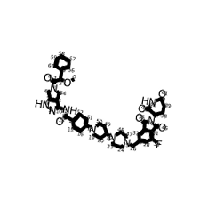 COC(C(=O)N1Cc2[nH]nc(NC(=O)c3ccc(N4CCC(N5CCN(Cc6cc(F)c7c(c6)C(=O)N(C6CCC(=O)NC6=O)C7=O)CC5)CC4)cc3)c2C1)c1ccccc1